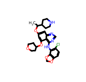 CC(Oc1cc(OC2CCOCC2)c2c(Nc3c(Cl)ccc4c3OCO4)ncnc2c1)C1CCNCC1